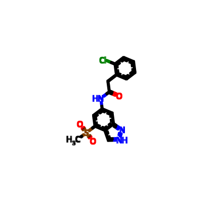 CS(=O)(=O)c1cc(NC(=O)Cc2ccccc2Cl)cc2n[nH]cc12